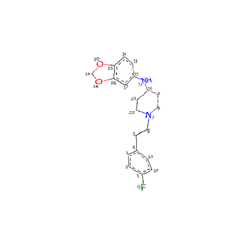 Fc1ccc(CCN2CCC(Nc3ccc4c(c3)OCO4)CC2)cc1